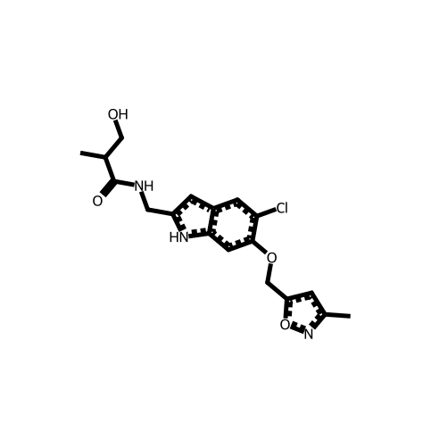 Cc1cc(COc2cc3[nH]c(CNC(=O)C(C)CO)cc3cc2Cl)on1